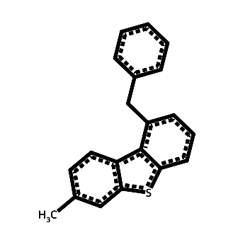 Cc1ccc2c(c1)sc1cccc(Cc3ccccc3)c12